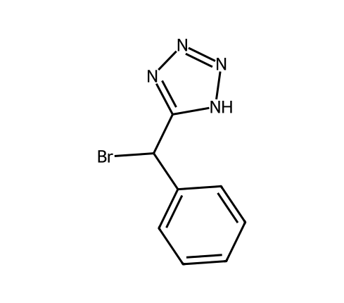 BrC(c1ccccc1)c1nnn[nH]1